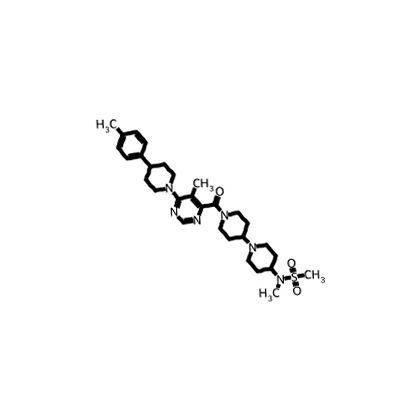 Cc1ccc(C2CCN(c3ncnc(C(=O)N4CCC(N5CCC(N(C)S(C)(=O)=O)CC5)CC4)c3C)CC2)cc1